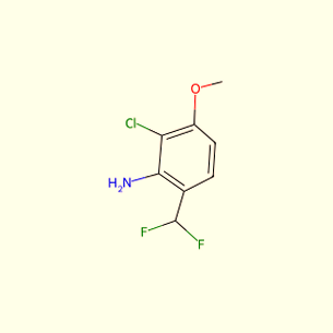 COc1ccc(C(F)F)c(N)c1Cl